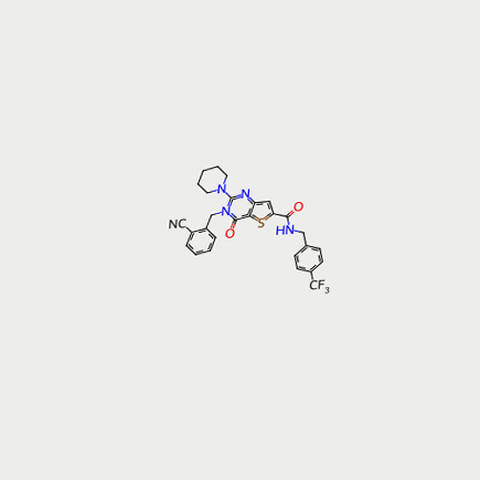 N#Cc1ccccc1Cn1c(N2CCCCC2)nc2cc(C(=O)NCc3ccc(C(F)(F)F)cc3)sc2c1=O